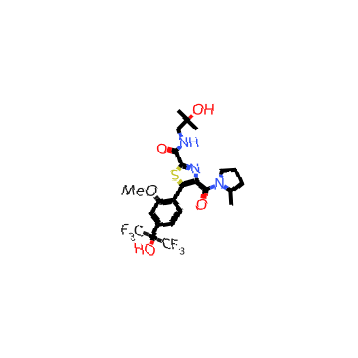 COc1cc(C(O)(C(F)(F)F)C(F)(F)F)ccc1-c1sc(C(=O)NCC(C)(C)O)nc1C(=O)N1CCCC1C